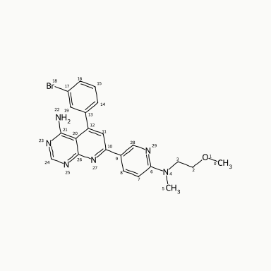 COCCN(C)c1ccc(-c2cc(-c3cccc(Br)c3)c3c(N)ncnc3n2)cn1